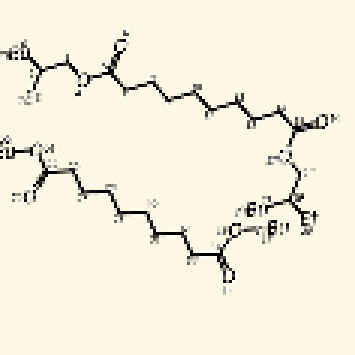 CCCCC(CC)COC(=O)CCCCCCCCC(=O)OCC(CC)CCCC.CCCCOC(=O)CCCCCCCCC(=O)OCCCC